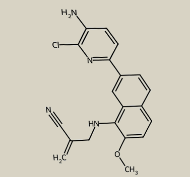 C=C(C#N)CNc1c(OC)ccc2ccc(-c3ccc(N)c(Cl)n3)cc12